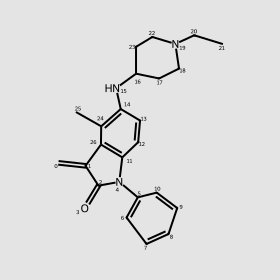 C=C1C(=O)N(c2ccccc2)c2ccc(NC3CCN(CC)CC3)c(C)c21